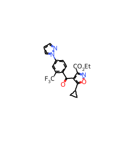 CCOC(=O)c1noc(C2CC2)c1C(=O)c1ccc(-n2cccn2)cc1C(F)(F)F